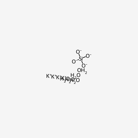 O.O.O.O.O.[K+].[K+].[K+].[K+].[O-][Si]([O-])([O-])[O-]